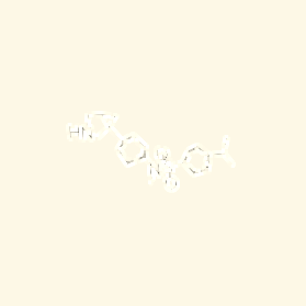 CC(C)c1ccc(S(=O)(=O)N(C)c2ccc(C34CNCC3C4)cc2)cc1